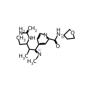 C=C(N)NC(CC)C(C)/C(=N\C)c1ccnc(C(=O)N[C@H]2CCOC2)c1